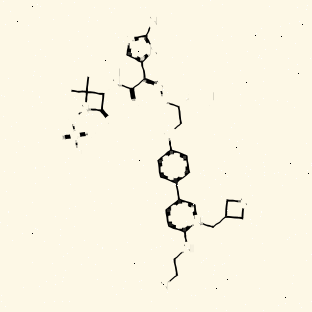 CC1(C)[C@H](NC(=O)/C(=N\O[C@@H](COc2ccc(-c3ccc(NCCN)[n+](CC4CNC4)c3)cc2)C(=O)O)c2csc(N)n2)C(=O)N1OS(=O)(=O)[O-]